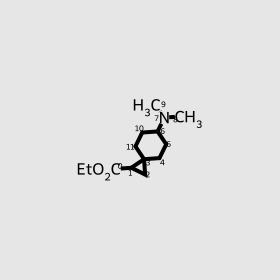 CCOC(=O)C1CC12CCC(N(C)C)CC2